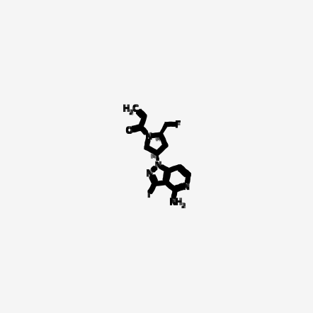 C=CC(=O)N1C[C@@H](n2nc(I)c3c(N)nccc32)C[C@@H]1CF